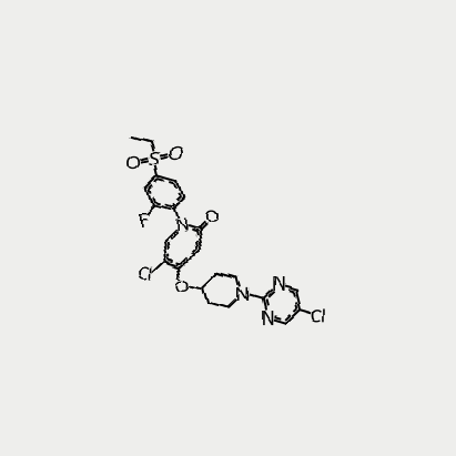 CCS(=O)(=O)c1ccc(-n2cc(Cl)c(OC3CCN(c4ncc(Cl)cn4)CC3)cc2=O)c(F)c1